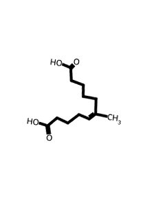 CC(=CCCCC(=O)O)CCCCC(=O)O